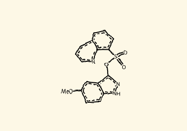 COc1ccc2[nH]nc(OS(=O)(=O)c3cccc4cccnc34)c2c1